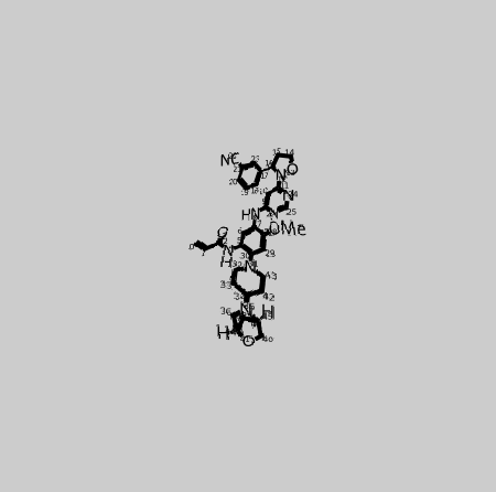 C=CC(=O)Nc1cc(Nc2cc(N3OCC[C@@H]3c3cccc(C#N)c3)ncn2)c(OC)cc1N1CCC(N2C[C@H]3C[C@@H]2CO3)CC1